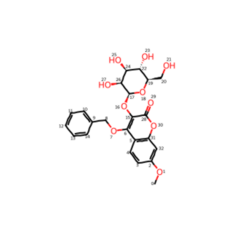 COc1ccc2c(OCc3ccccc3)c(O[C@@H]3O[C@H](CO)[C@@H](O)[C@H](O)[C@@H]3O)c(=O)oc2c1